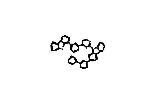 c1ccc(-c2cccc(-c3ccc4c5ccccc5n(-c5nccc(-c6cccc(-c7cccc8c7sc7ccccc78)c6)n5)c4c3)c2)cc1